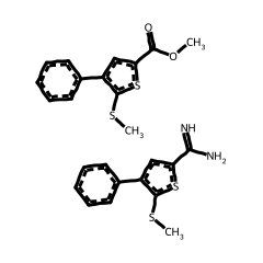 COC(=O)c1cc(-c2ccccc2)c(SC)s1.CSc1sc(C(=N)N)cc1-c1ccccc1